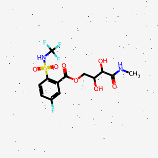 CNC(=O)C(O)C(O)COC(=O)c1cc(F)ccc1S(=O)(=O)NC(F)(F)F